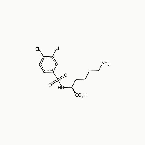 NCCCC[C@H](NS(=O)(=O)c1ccc(Cl)c(Cl)c1)C(=O)O